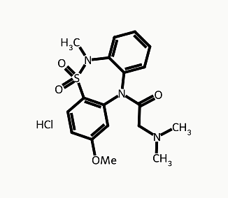 COc1ccc2c(c1)N(C(=O)CN(C)C)c1ccccc1N(C)S2(=O)=O.Cl